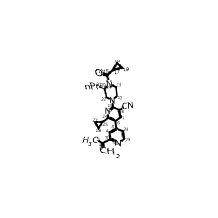 C=C(C)c1cc(-c2cc(C#N)c(N3CCN(C(=O)C4CC4)[C@H](CCC)C3)nc2C2CC2)ccn1